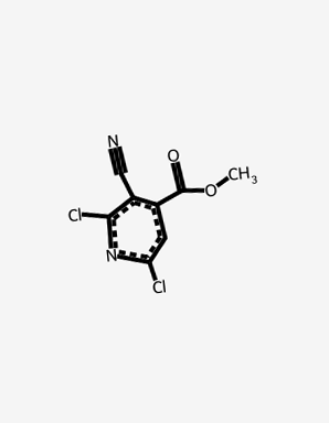 COC(=O)c1cc(Cl)nc(Cl)c1C#N